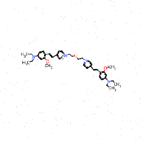 CCN(CC)c1ccc(/C=C/c2cc[n+](CCOCC[n+]3ccc(/C=C/c4ccc(N(CC)CC)cc4OC)cc3)cc2)c(OC)c1